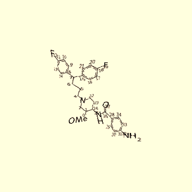 COC1CN(CCCC(c2ccc(F)cc2)c2ccc(F)cc2)CCC1NC(=O)c1ccc(N)cc1